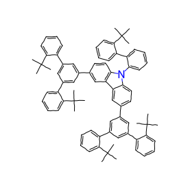 CC(C)(C)c1ccccc1-c1cc(-c2ccc3c(c2)c2cc(-c4cc(-c5ccccc5C(C)(C)C)cc(-c5ccccc5C(C)(C)C)c4)ccc2n3-c2ccccc2-c2ccccc2C(C)(C)C)cc(-c2ccccc2C(C)(C)C)c1